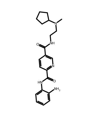 CN(CCNC(=O)c1ccc(C(=O)Nc2ccccc2N)nc1)C1CCCC1